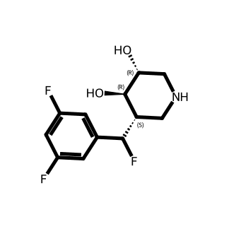 O[C@H]1[C@H](O)CNC[C@@H]1C(F)c1cc(F)cc(F)c1